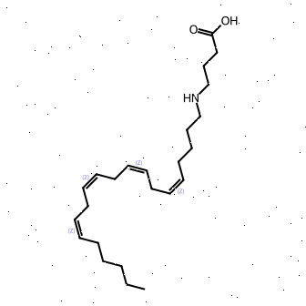 CCCCC/C=C\C/C=C\C/C=C\C/C=C\CCCCNCCCC(=O)O